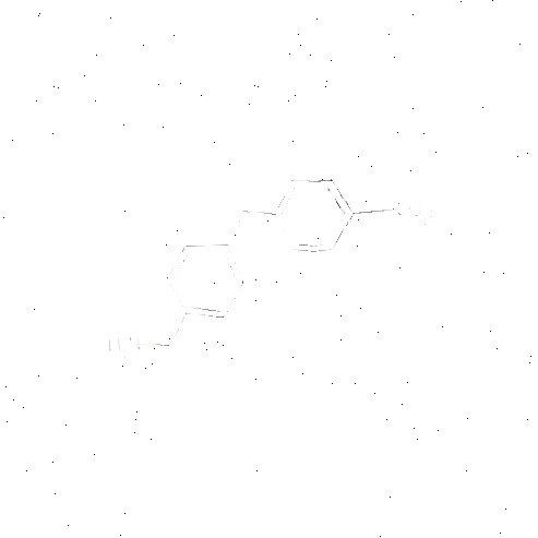 NCc1ccc(Cc2ccc(C(=O)O)cc2)cc1